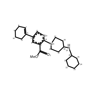 COC(=O)c1cc(C2=CCCCC2)cnc1N1CCC(NC2CCCCC2)CC1